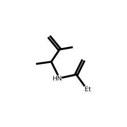 C=C(CC)NC(C)C(=C)C